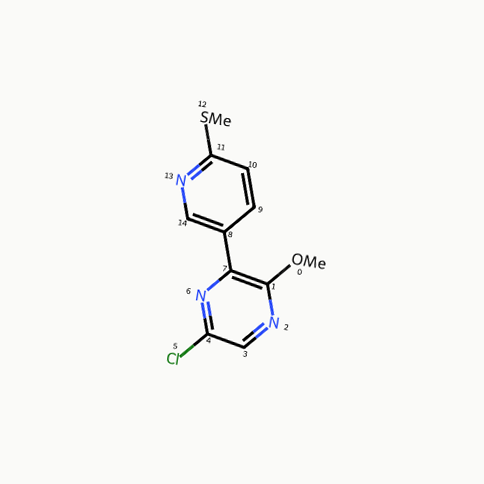 COc1ncc(Cl)nc1-c1ccc(SC)nc1